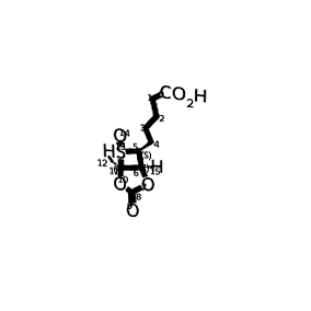 O=C(O)CCCC[C@H]1[C@H]2OC(=O)O[C@]23C[SH]13=O